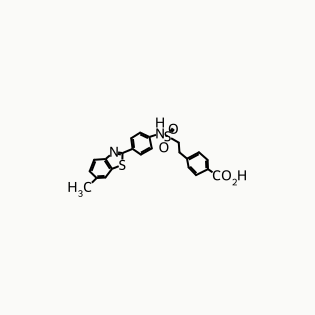 Cc1ccc2nc(-c3ccc(NS(=O)(=O)CCc4ccc(C(=O)O)cc4)cc3)sc2c1